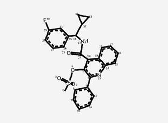 CS(=O)(=O)Oc1c(-c2ccccc2)nc2ccccc2c1C(=O)NC(c1cccc(F)c1)C1CC1